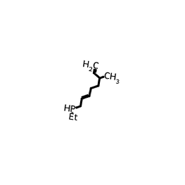 C=CC(C)CC/C=C/CPCC